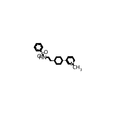 CN1C=C([C@H]2CC[C@H](CCNS(=O)(=O)c3ccccc3)CC2)C=CC1